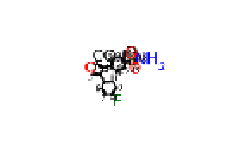 CCOC(=O)c1occ(-c2ccc(F)cc2)c1-c1ccc(S(N)(=O)=O)cc1